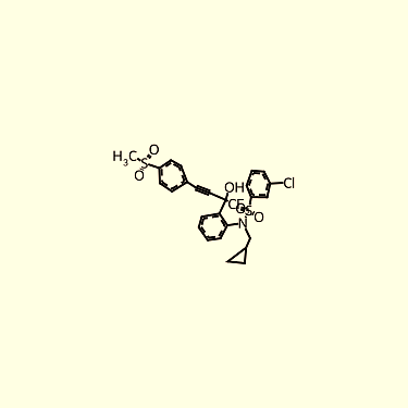 CS(=O)(=O)c1ccc(C#CC(O)(c2ccccc2N(CC2CC2)S(=O)(=O)c2cccc(Cl)c2)C(F)(F)F)cc1